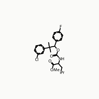 COC(=O)C(CC(C)C)NC(=O)OC(c1ccc(F)cc1)C(C)(C)c1cccc(Cl)c1